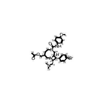 COc1ccc(NC(=O)N2CCC(COC(C)=O)CN3[C@H](CN(C)C)[C@H](c4ccc(Br)cc4)[C@@H]3C2)cc1